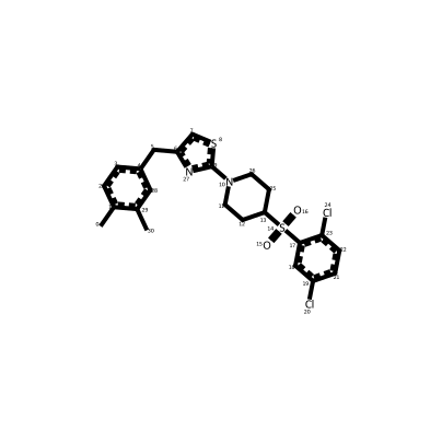 Cc1ccc(Cc2csc(N3CCC(S(=O)(=O)c4cc(Cl)ccc4Cl)CC3)n2)cc1C